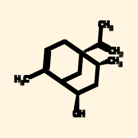 C=C(C)[C@@]12CC=C(C)C(C1)[C@H](O)C[C@H]2C